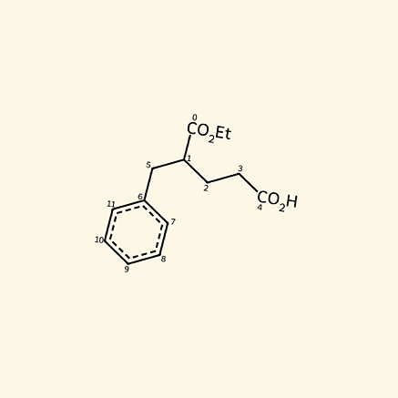 CCOC(=O)C(CCC(=O)O)Cc1ccccc1